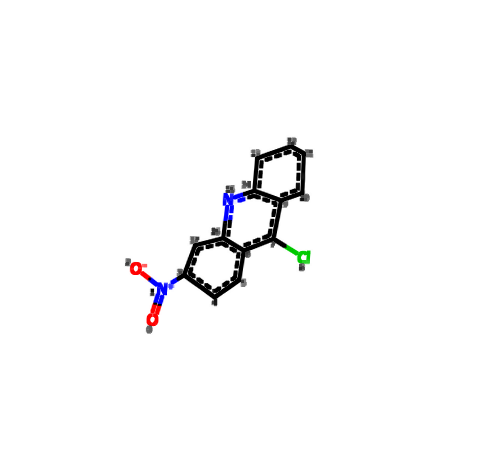 O=[N+]([O-])c1ccc2c(Cl)c3ccccc3nc2c1